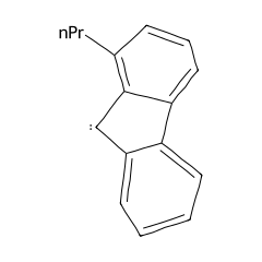 CCCc1cccc2c1[C]c1ccccc1-2